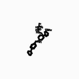 COc1cccc([C@]2(CNS(=O)(=O)NC(=O)C(C)C)CC[C@@H](NCc3ccc(-c4ccccc4)cc3)CC2)c1